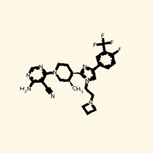 C[C@H]1CN(c2ncnc(N)c2C#N)CC[C@H]1c1nc(-c2ccc(F)c(C(F)(F)F)c2)cn1CCN1CCC1